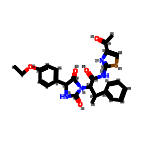 CCOc1ccc(C2NC(=O)N(C(C(=O)Nc3nc(C(C)=O)cs3)C(C)c3ccccc3)C2=O)cc1